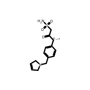 C[C@@H](C(=O)CS(N)(=O)=O)c1ccc(CN2CC=CC2)cc1